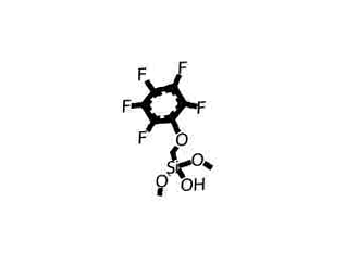 CO[Si](O)(COc1c(F)c(F)c(F)c(F)c1F)OC